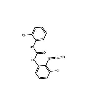 O=C=Nc1c(Cl)cccc1NC(=O)Nc1ccccc1Cl